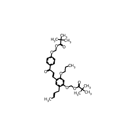 C/C=C/Cc1cc(/C=C/C(=O)c2ccc(OCOC(=O)C(C)(C)C)cc2)c(OCCC)cc1OCOC(=O)C(C)(C)C